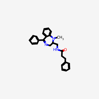 CN1c2ccccc2C(c2ccccc2)=NCC1CNC(=O)CCc1ccccc1